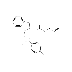 C=CCCC(=O)O[C@@H]1Cc2ccccc2[C@@H]1NS(=O)(=O)c1ccc(C)cc1